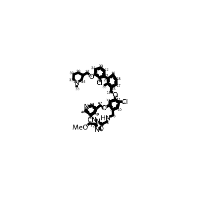 COCc1noc(CNCc2cc(Cl)c(OCc3cccc(-c4cccc(OCC5CCCN(C)C5)c4Cl)c3C)cc2OCc2cncc(C#N)c2)n1